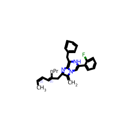 C=c1c(C/C(=C/C=C\C)CCC)nc2n1C=C(c1ccccc1F)NC=2Cc1ccccc1